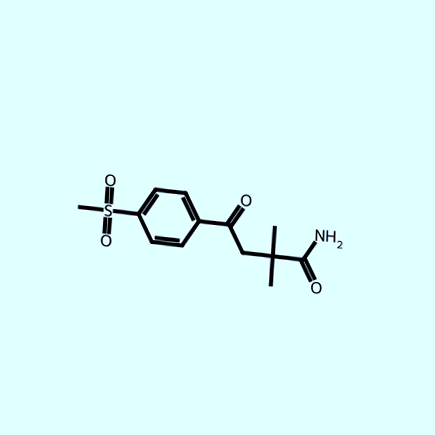 CC(C)(CC(=O)c1ccc(S(C)(=O)=O)cc1)C(N)=O